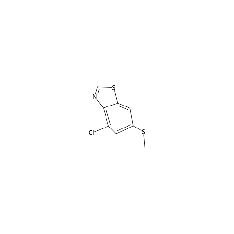 CSc1cc(Cl)c2ncsc2c1